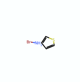 NBr.c1ccsc1